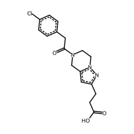 O=C(O)CCc1cc2n(n1)CCN(C(=O)Cc1ccc(Cl)cc1)C2